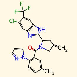 C=C1CC(c2nc3cc(Cl)c(C(F)(F)F)cc3[nH]2)N(C(=O)c2cc(C)ccc2-n2cccn2)C1